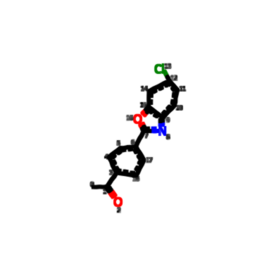 CC(=O)c1ccc(-c2nc3ccc(Cl)cc3o2)cc1